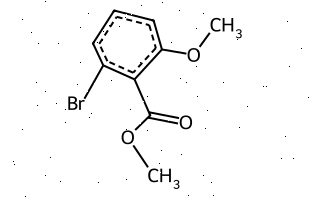 COC(=O)c1c(Br)cccc1OC